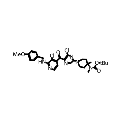 COc1ccc(CNc2nccc(C(=O)c3ncc(N4CCC(C)(N(C)C(=O)OC(C)(C)C)CC4)nc3Cl)c2Cl)cc1